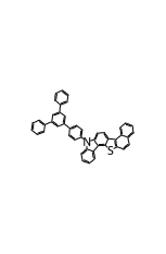 c1ccc(-c2cc(-c3ccccc3)cc(-c3ccc(-n4c5ccccc5c5c6sc7ccc8ccccc8c7c6ccc54)cc3)c2)cc1